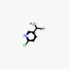 CC(C)C(C)c1ccc(Cl)nc1